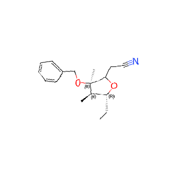 CC[C@H]1OC(CC#N)[C@](C)(OCc2ccccc2)[C@@H]1C